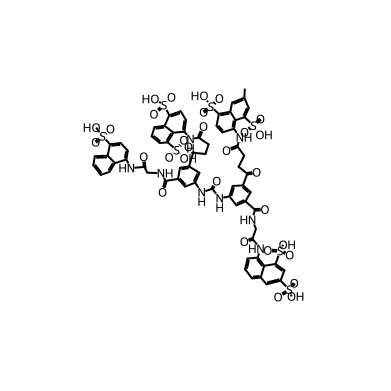 Cc1cc(S(=O)(=O)O)c2c(NC(=O)CCC(=O)c3cc(NC(=O)Nc4cc(C(=O)CCC(=O)Nc5ccc(S(=O)(=O)O)c6cccc(S(=O)(=O)O)c56)cc(C(=O)NCC(=O)Nc5ccc(S(=O)(=O)O)c6ccccc56)c4)cc(C(=O)NCC(=O)Nc4cccc5cc(S(=O)(=O)O)cc(S(=O)(=O)O)c45)c3)ccc(S(=O)(=O)O)c2c1